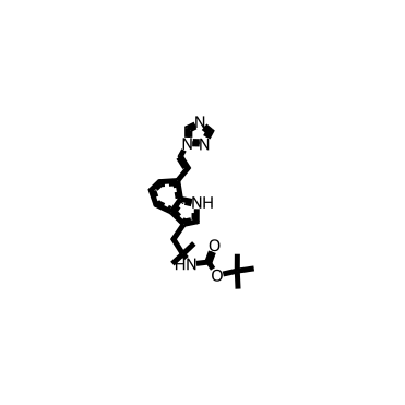 CC(C)(Cc1c[nH]c2c(C=Cn3cncn3)cccc12)NC(=O)OC(C)(C)C